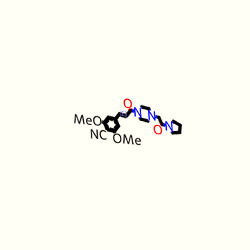 COc1cc(/C=C/C(=O)N2CCN(CC(=O)N3CCCC3)CC2)cc(OC)c1C#N